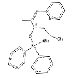 CC(=Cc1ccccn1)[C@H](CCO)O[Si](c1ccccc1)(c1ccccc1)C(C)(C)C